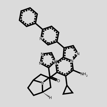 Nc1c(C2CC2)c(C2CC3CC[C@H](C2)N3C(=O)c2nnc[nH]2)nc2c(-c3ccc(-c4ccccc4)nc3)cnn12